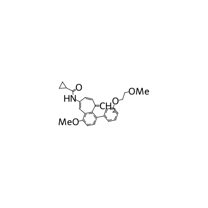 C=C1C=CC(NC(=O)C2CC2)=Cc2c(OC)ccc(-c3cccc(OCCOC)c3)c21